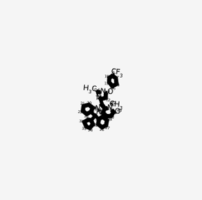 Cc1nc(Oc2ccc(C(F)(F)F)cc2)cc(-c2nn(C(c3ccccc3)(c3ccccc3)c3ccccc3)c3ccc(=O)n(C)c23)n1